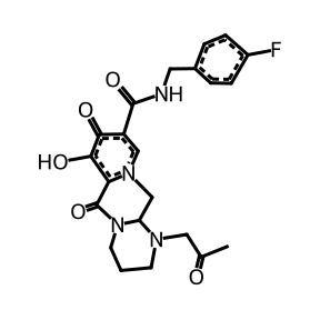 CC(=O)CN1CCCN2C(=O)c3c(O)c(=O)c(C(=O)NCc4ccc(F)cc4)cn3CC12